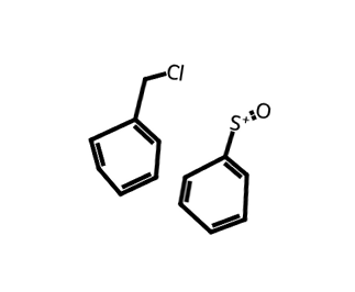 ClCc1ccccc1.O=[S+]c1ccccc1